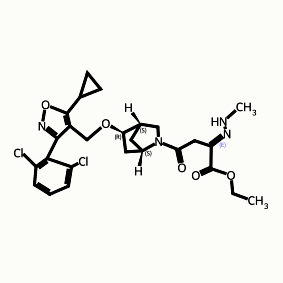 CCOC(=O)/C(CC(=O)N1C[C@@H]2C[C@H]1C[C@H]2OCc1c(-c2c(Cl)cccc2Cl)noc1C1CC1)=N/NC